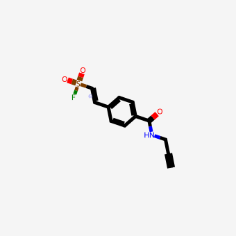 C#CCNC(=O)c1ccc(/C=C/S(=O)(=O)F)cc1